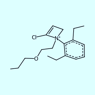 CCCOCC[N+]1(c2c(CC)cccc2CC)CC=C1Cl